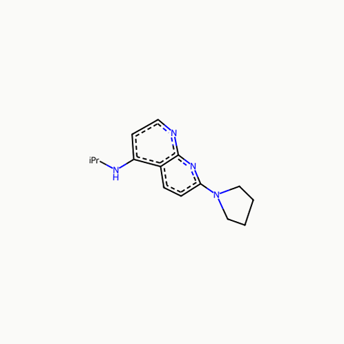 CC(C)Nc1ccnc2nc(N3CCCC3)ccc12